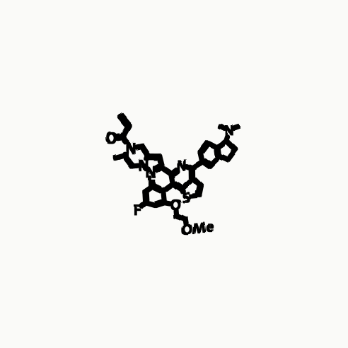 C=CC(=O)N1Cc2cc(-c3nc(-c4ccc5c(c4)CCC5N(C)C)c4ccsc4c3-c3c(F)cc(F)cc3OCCOC)nn2CC1C